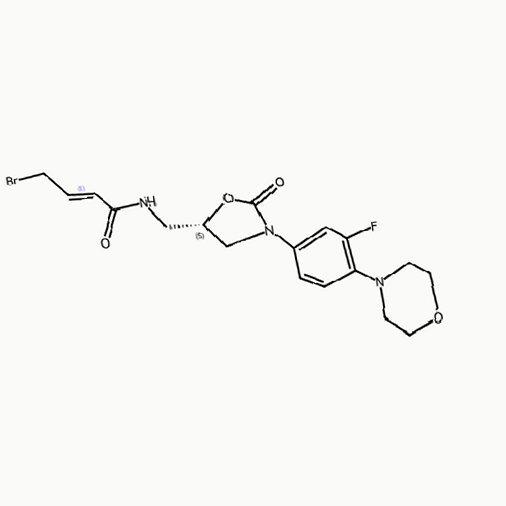 O=C(/C=C/CBr)NC[C@H]1CN(c2ccc(N3CCOCC3)c(F)c2)C(=O)O1